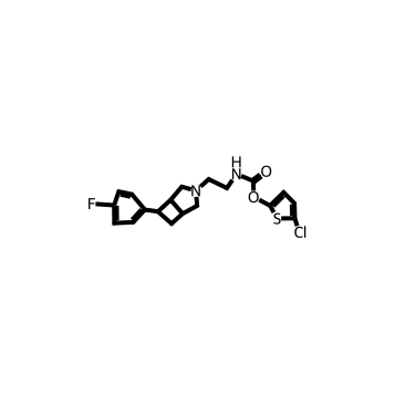 O=C(NCCN1CC2CC(c3ccc(F)cc3)C2C1)Oc1ccc(Cl)s1